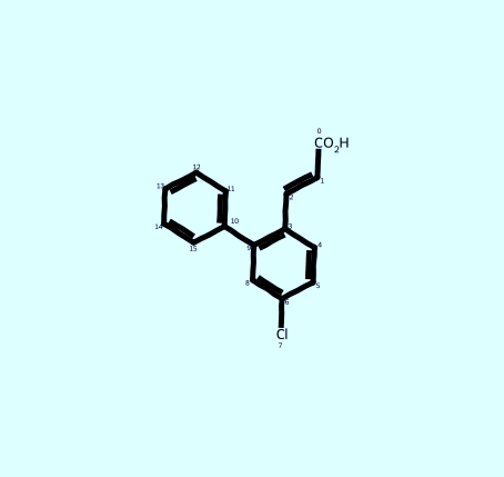 O=C(O)C=Cc1ccc(Cl)cc1-c1ccccc1